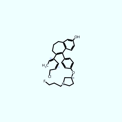 C/C=C(\C=C/CCl)C1=C(c2ccc(O[C@H]3CCN(CCCF)C3)cc2)c2ccc(O)cc2CCC1